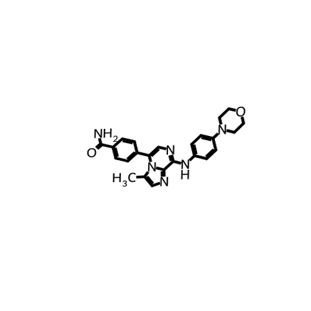 Cc1cnc2c(Nc3ccc(N4CCOCC4)cc3)ncc(-c3ccc(C(N)=O)cc3)n12